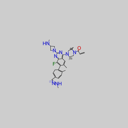 C=CC(=O)N1C[C@H](C)N(c2nc(N3CC(NC)C3)nc3c(F)c(C4=C(C)C=CC(/C=N\NC)=CC4)c(C)cc23)C[C@H]1C